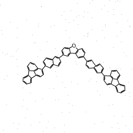 c1ccc2c(c1)-c1cccc3c(-c4ccc5cc(-c6ccc7oc8ccc(-c9ccc%10cc(-c%11ccc%12c%13c(cccc%11%13)-c%11ccccc%11-%12)ccc%10c9)cc8c7c6)ccc5c4)ccc-2c13